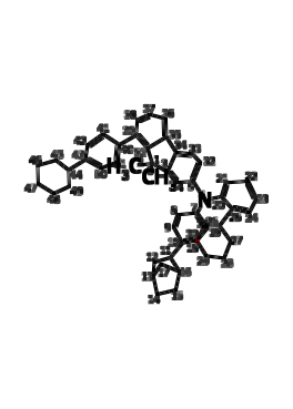 CC1(C)c2cc(N(c3ccc(C4CC5CCC4C5)cc3)c3ccccc3C3CCCCC3)ccc2-c2cccc(-c3ccc(C4CCCCC4)cc3)c21